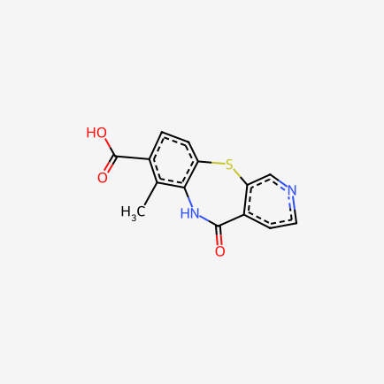 Cc1c(C(=O)O)ccc2c1NC(=O)c1ccncc1S2